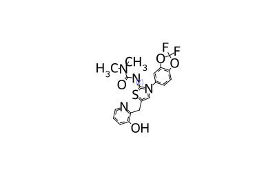 CN(C)C(=O)/N=c1\sc(Cc2ncccc2O)cn1-c1ccc2c(c1)OC(F)(F)O2